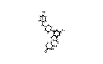 O=C1CCC(N2Cc3c(cc(F)cc3N3CCN(CC45CCC(O)(CC4)CC5)CC3)C2=O)C(=O)N1